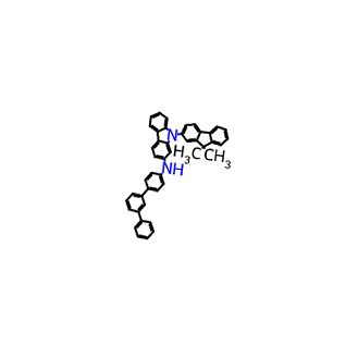 CC1(C)c2ccccc2-c2ccc(-n3c4ccccc4c4ccc(Nc5ccc(-c6cccc(-c7ccccc7)c6)cc5)cc43)cc21